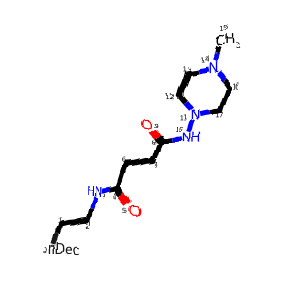 CCCCCCCCCCCCNC(=O)CCC(=O)NN1CCN(C)CC1